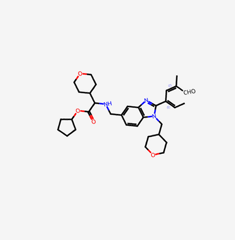 C/C=C(\C=C(\C)C=O)c1nc2cc(CNC(C(=O)OC3CCCC3)C3CCOCC3)ccc2n1CC1CCOCC1